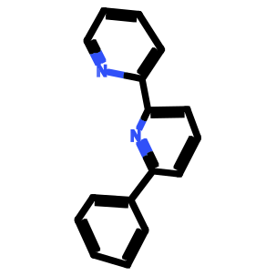 c1ccc(-c2cccc(-c3ccccn3)n2)cc1